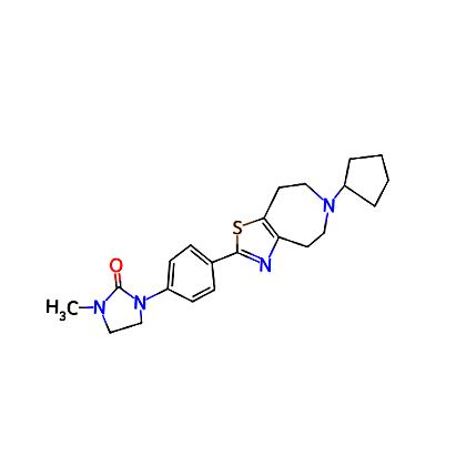 CN1CCN(c2ccc(-c3nc4c(s3)CCN(C3CCCC3)CC4)cc2)C1=O